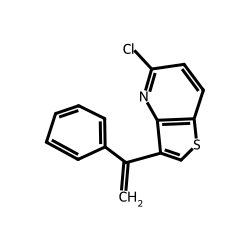 C=C(c1ccccc1)c1csc2ccc(Cl)nc12